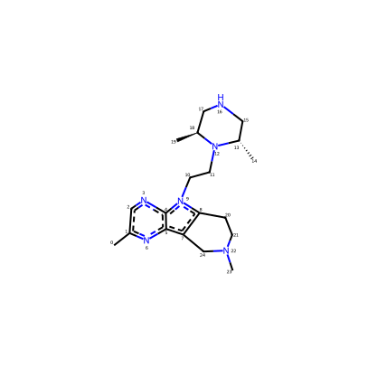 Cc1cnc2c(n1)c1c(n2CCN2[C@@H](C)CNC[C@@H]2C)CCN(C)C1